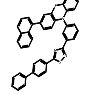 c1ccc(-c2ccc(-c3nc(-c4cccc(N5c6ccccc6Sc6cc(-c7cccc8ccccc78)ccc65)c4)ns3)cc2)cc1